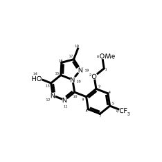 COCOc1cc(C(F)(F)F)ccc1-c1nnc(O)c2cc(C)nn12